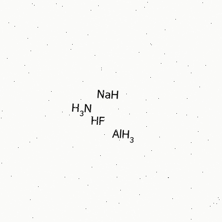 F.N.[AlH3].[NaH]